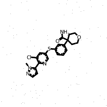 Cn1nccc1-c1ncc(Sc2cccc(C3(C(N)=O)CCOCC3)c2)cc1Cl